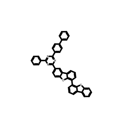 c1ccc(-c2ccc(-c3nc(-c4ccccc4)nc(-c4ccc5oc6c(-c7cccc8c7sc7ccccc78)cccc6c5c4)n3)cc2)cc1